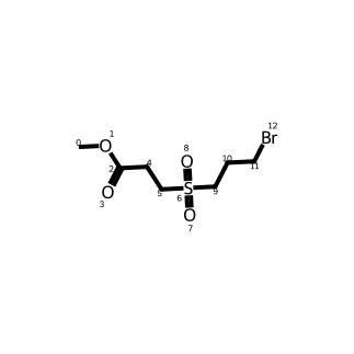 COC(=O)CCS(=O)(=O)CCCBr